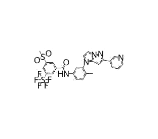 Cc1ccc(NC(=O)c2cc(S(C)(=O)=O)cc(S(F)(F)(F)(F)F)c2)cc1-n1ccn2nc(-c3cccnc3)cc12